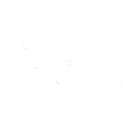 Cc1cc2nc([S+]([O-])Cc3ccccn3)[nH]c2cc1C